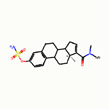 CCCN(C)C(=O)C1=CCC2C3CCc4cc(OS(N)(=O)=O)ccc4C3CC[C@]12C